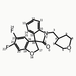 O=C1N(CC2CCOCC2)c2ccccc2C12COc1cc(F)c(F)cc12